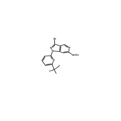 CC(=O)Nc1cc2c(cn1)c(Br)nn2-c1cccc(C(C)(F)F)n1